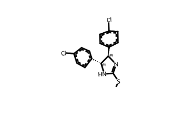 CSC1=N[C@H](c2ccc(Cl)cc2)[C@@H](c2ccc(Cl)cc2)N1